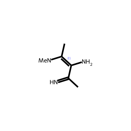 CN/C(C)=C(/N)C(C)=N